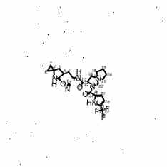 N#C[C@H](C[C@@H]1CC2(CC2)NC1=O)NC(=O)[C@@H]1C[Si]2(CCCC2)CN1C(=O)c1ccc(C(F)(F)F)[nH]1